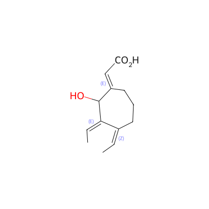 C/C=C1/CCC/C(=C\C(=O)O)C(O)/C1=C/C